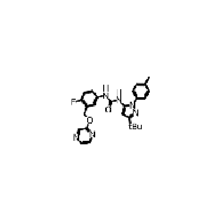 Cc1ccc(-n2nc(C(C)(C)C)cc2NC(=O)Nc2ccc(F)c(COc3cnccn3)c2)cc1